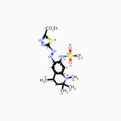 CCOC(=O)c1nnc(N=Nc2cc3c(cc2NS(=O)(=O)C(F)(F)F)N(C)C(C)(C)CC3C)s1